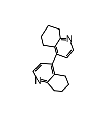 c1cc(-c2ccnc3c2CCCC3)c2c(n1)CCCC2